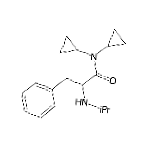 CC(C)NC(Cc1ccccc1)C(=O)N(C1CC1)C1CC1